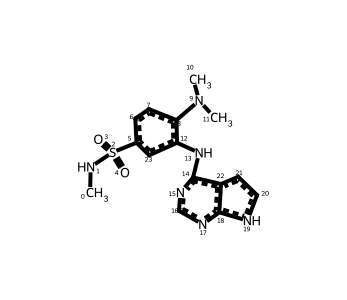 CNS(=O)(=O)c1ccc(N(C)C)c(Nc2ncnc3[nH]ccc23)c1